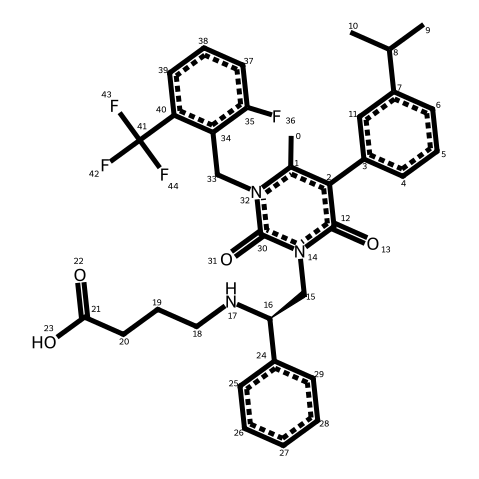 Cc1c(-c2cccc(C(C)C)c2)c(=O)n(C[C@H](NCCCC(=O)O)c2ccccc2)c(=O)n1Cc1c(F)cccc1C(F)(F)F